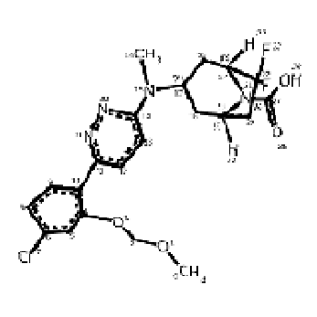 COCOc1cc(Cl)ccc1-c1ccc(N(C)[C@@H]2C[C@H]3CC(F)(F)[C@@H](C2)N3C(=O)O)nn1